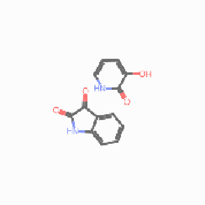 O=C1Nc2ccccc2C1=O.O=c1[nH]cccc1O